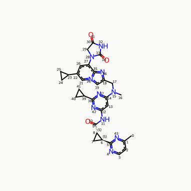 Cc1ccnc([C@H]2C[C@@H]2C(=O)Nc2cc(N(C)Cc3cn4cc(C5CC5)cc(N5CC(=O)NC5=O)c4n3)nc(C3CC3)n2)n1